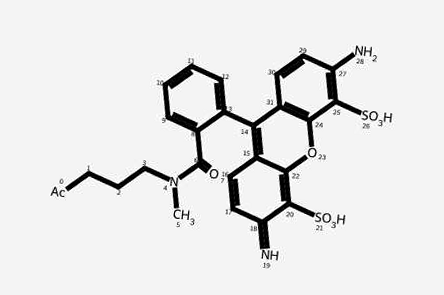 CC(=O)CCCN(C)C(=O)c1ccccc1-c1c2ccc(=N)c(S(=O)(=O)O)c-2oc2c(S(=O)(=O)O)c(N)ccc12